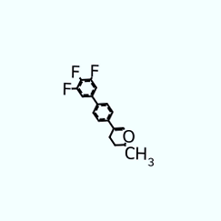 CC1CCC(c2ccc(-c3cc(F)c(F)c(F)c3)cc2)=CO1